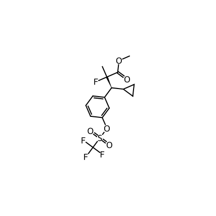 COC(=O)C(C)(F)[C@H](c1cccc(OS(=O)(=O)C(F)(F)F)c1)C1CC1